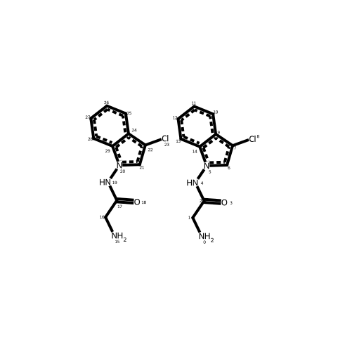 NCC(=O)Nn1cc(Cl)c2ccccc21.NCC(=O)Nn1cc(Cl)c2ccccc21